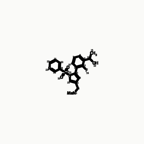 CNCc1cc(-c2cccc(C(C)O)c2F)n(S(=O)(=O)c2cccnc2)c1